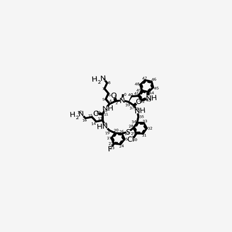 CN1C(=O)C(CCCCN)NC(=O)C(CCCN)NCc2cc(F)ccc2Sc2c(Cl)cccc2CNC(=O)[C@@H]1Cc1c[nH]c2ccccc12